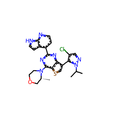 CC(C)n1ncc(Cl)c1-c1csc2c(N3CCOC[C@H]3C)nc(-c3ccnc4[nH]ccc34)nc12